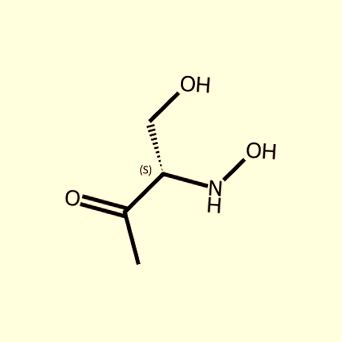 CC(=O)[C@H](CO)NO